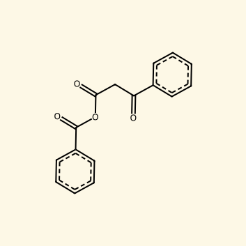 O=C(CC(=O)c1ccccc1)OC(=O)c1ccccc1